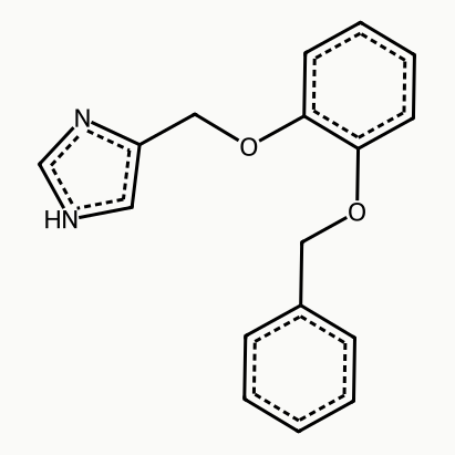 c1ccc(COc2ccccc2OCc2c[nH]cn2)cc1